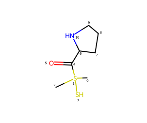 CS(C)(S)C(=O)C1CCCN1